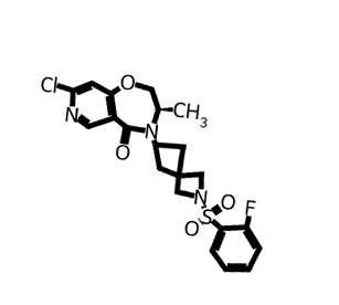 C[C@@H]1COc2cc(Cl)ncc2C(=O)N1C1CC2(C1)CN(S(=O)(=O)c1ccccc1F)C2